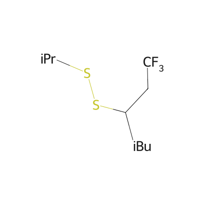 CCC(C)C(CC(F)(F)F)SSC(C)C